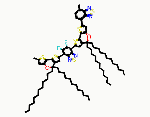 CCCCCCCCCCCCC1(CCCCCCCCCCCC)Oc2cc(C)sc2-c2sc(-c3c(F)c(F)c(-c4cc5c(s4)-c4sc(-c6ccc(C)c7nsnc67)cc4OC5(CCCCCCCCCCCC)CCCCCCCCCCCC)c4nsnc34)cc21